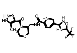 CC1=C(C(=O)N2CCOC[C@@H]2CNC(=O)C2=CC=C(C3NOC(C(F)(F)F)N3)CN2)SNN1